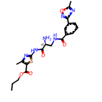 CCCOC(=O)c1sc(NC(=O)[C@@H](N)CNC(=O)c2cccc(-c3noc(C)n3)c2)nc1C